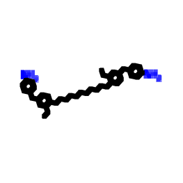 CCc1cc(Cc2ccc(N)cc2)ccc1CCCCCCCCCCCc1ccc(Cc2ccc(N)cc2)cc1CC